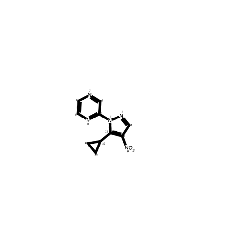 O=[N+]([O-])c1cnn(-c2cnccn2)c1C1CC1